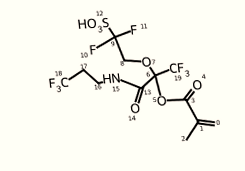 C=C(C)C(=O)OC(OCC(F)(F)S(=O)(=O)O)(C(=O)NCCC(F)(F)F)C(F)(F)F